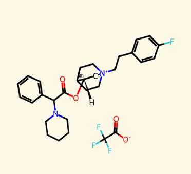 O=C(O[C@H]1C[N+]2(CCc3ccc(F)cc3)CCC1CC2)C(c1ccccc1)N1CCCCC1.O=C([O-])C(F)(F)F